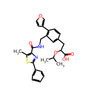 Cc1sc(-c2ccccc2)nc1C(=O)NCc1cc(CC(OC(C)C)C(=O)O)ccc1-c1ccoc1